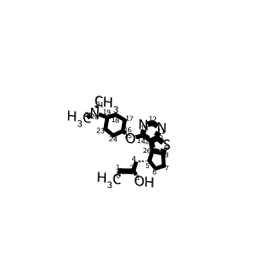 C/C=C(\O)C[C@H]1CCc2sc3ncnc(OC4CCC(N(C)C)CC4)c3c21